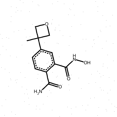 CC1(c2ccc(C(N)=O)c(C(=O)NO)c2)COC1